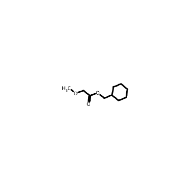 COCC(=O)OCC1CCCCC1